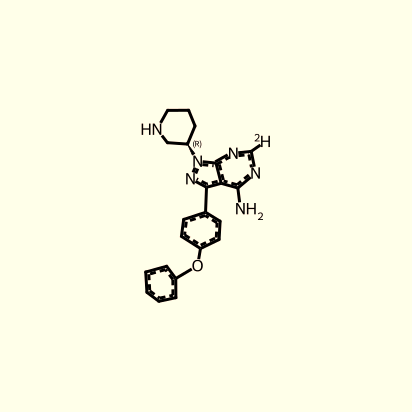 [2H]c1nc(N)c2c(-c3ccc(Oc4ccccc4)cc3)nn([C@@H]3CCCNC3)c2n1